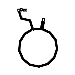 CCCCCCCCCCCCN1CCCCCCCCCCCC1=O